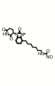 Cn1c(=O)n(C2CCC(=O)NC2=O)c2cccc(CCCCCCCNC(=O)N=O)c21